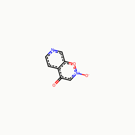 O=c1c[n+]([O-])oc2cnccc12